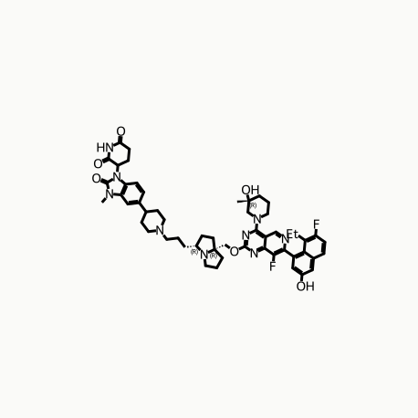 CCc1c(F)ccc2cc(O)cc(-c3ncc4c(N5CCC[C@@](C)(O)C5)nc(OC[C@]56CCCN5[C@H](CCCN5CCC(c7ccc8c(c7)n(C)c(=O)n8C7CCC(=O)NC7=O)CC5)CC6)nc4c3F)c12